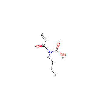 C=CC(=O)N(CCCC)C(=O)O